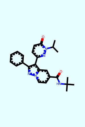 CC(C)n1nc(-c2c(-c3ccccc3)nn3ccc(C(=O)NC(C)(C)C)cc23)ccc1=O